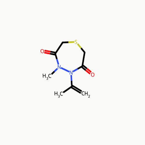 C=C(C)N1C(=O)CSCC(=O)N1C